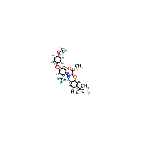 COC(=O)C(=O)N(Cc1ccc(C(C)(C)C)cc1)c1ccc(Oc2ccc(OC(F)(F)F)cc2)cc1C(F)(F)F